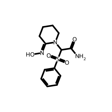 NC(=O)C(N1CCCCC1=NO)S(=O)(=O)c1ccccc1